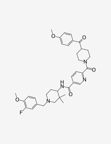 COc1ccc(C(=O)C2CCN(C(=O)c3ccc(C(=O)NC4CCN(Cc5ccc(OC)c(F)c5)CC4(C)C)cn3)CC2)cc1